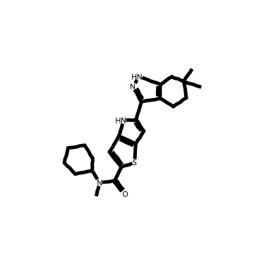 CN(C(=O)c1cc2[nH]c(-c3n[nH]c4c3CCC(C)(C)C4)cc2s1)C1CCCCC1